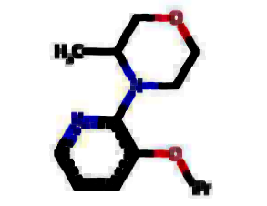 CC(C)Oc1cccnc1N1CCOCC1C